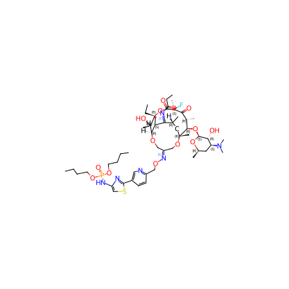 CCCCOP(=O)(Nc1csc(-c2ccc(CO/N=C3\CO[C@@H]4[C@@H](C)/C(=N/C(=O)CC)[C@H](C)C[C@@](C)(OC3)[C@H](O[C@@H]3O[C@H](C)C[C@H](N(C)C)[C@H]3O)[C@@H](C)C(=O)[C@](C)(F)C(=O)O[C@H](CC)[C@@]4(C)O)nc2)n1)OCCCC